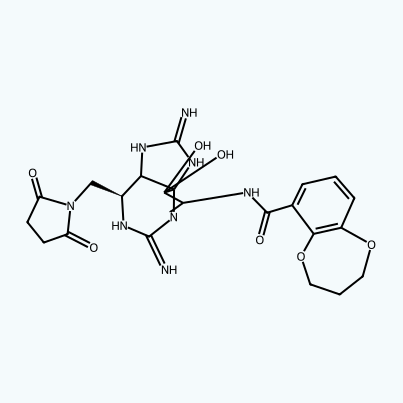 N=C1NC2[C@H](CN3C(=O)CCC3=O)NC(=N)N3CC(NC(=O)c4cccc5c4OCCCO5)C(O)(O)C23N1